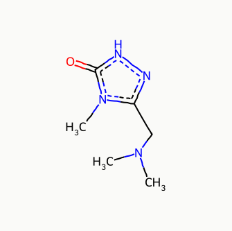 CN(C)Cc1n[nH]c(=O)n1C